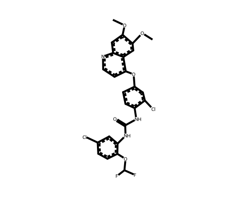 COc1cc2nccc(Oc3ccc(NC(=O)Nc4cc(Cl)ccc4OC(F)F)c(Cl)c3)c2cc1OC